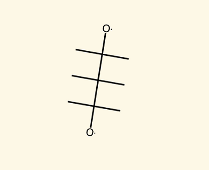 CC(C)([O])C(C)(C)C(C)(C)[O]